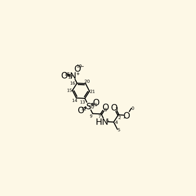 COC(=O)C(C)NC(=O)CS(=O)(=O)c1ccc([N+](=O)[O-])cc1